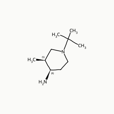 C[C@H]1CN(C(C)(C)C)CC[C@H]1N